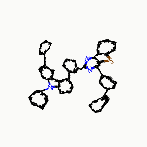 c1ccc(-c2cccc(-c3nc(-c4cccc(-c5cccc6c5c5cc(-c7ccccc7)ccc5n6-c5ccccc5)c4)nc4c3sc3ccccc34)c2)cc1